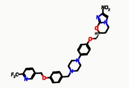 O=[N+]([O-])c1cn2c(n1)O[C@@H](COc1ccc(N3CCN(Cc4ccc(OCc5ccc(C(F)(F)F)nc5)cc4)CC3)cc1)CC2